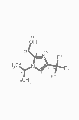 CC(C)n1cc(C(F)(F)F)nc1CO